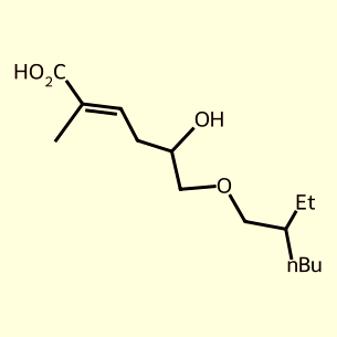 CCCCC(CC)COCC(O)CC=C(C)C(=O)O